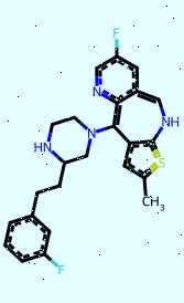 Cc1cc2c(s1)NC=c1cc(F)cnc1=C2N1CCNC(CCc2cccc(F)c2)C1